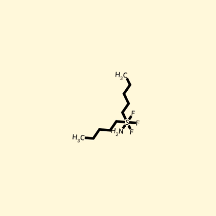 CCCCCS(N)(F)(F)(F)CCCCC